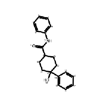 O=C(Nc1ccccc1)C1CCC(O)(c2ccccc2)CC1